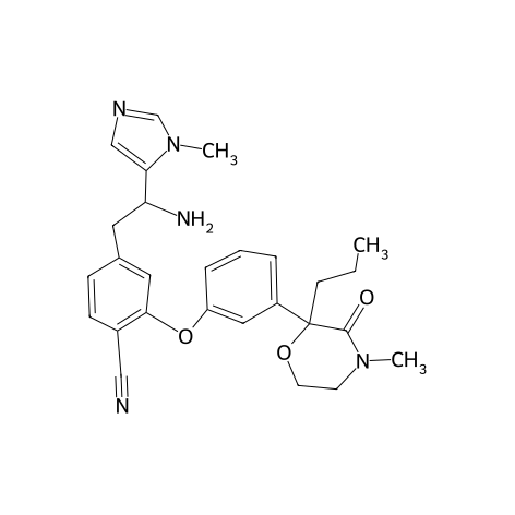 CCCC1(c2cccc(Oc3cc(CC(N)c4cncn4C)ccc3C#N)c2)OCCN(C)C1=O